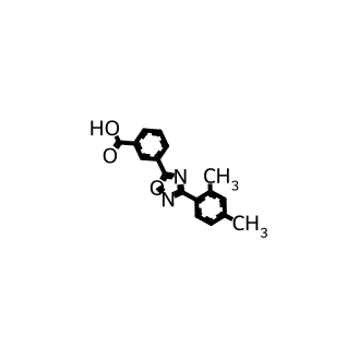 Cc1ccc(-c2noc(-c3cccc(C(=O)O)c3)n2)c(C)c1